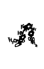 Cn1c(=O)oc2ccc(Nc3nc(Nc4ccc(S(N)(=O)=O)cc4)ncc3F)cc21